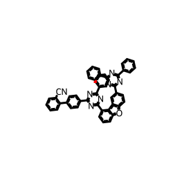 N#Cc1ccccc1-c1ccc(-c2nc(-c3ccccc3)nc(-c3cccc4oc5ccc(-c6nc(-c7ccccc7)nc(-c7ccccc7)n6)cc5c34)n2)cc1